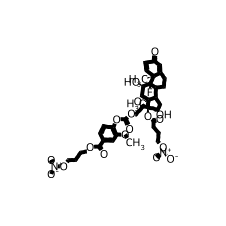 COc1cc(C(=O)OCCCCO[N+](=O)[O-])ccc1OC(=O)OCC(=O)[C@@]1(OC(=O)CCCO[N+](=O)[O-])[C@H](O)CC2C3CCC4=CC(=O)C=C[C@]4(C)[C@@]3(F)[C@@H](O)C[C@@]21C